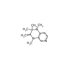 C=C1N(C)c2cnccc2N(C)C1(C)C